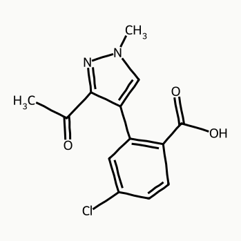 CC(=O)c1nn(C)cc1-c1cc(Cl)ccc1C(=O)O